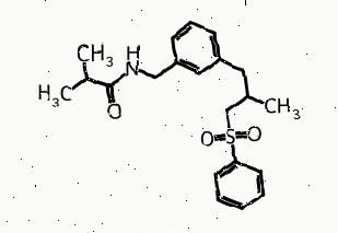 CC(Cc1cccc(CNC(=O)C(C)C)c1)CS(=O)(=O)c1ccccc1